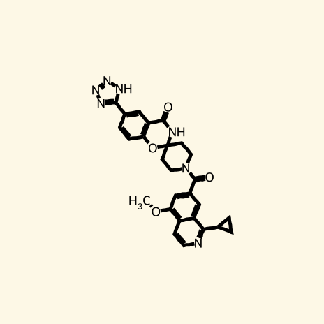 COc1cc(C(=O)N2CCC3(CC2)NC(=O)c2cc(-c4nnn[nH]4)ccc2O3)cc2c(C3CC3)nccc12